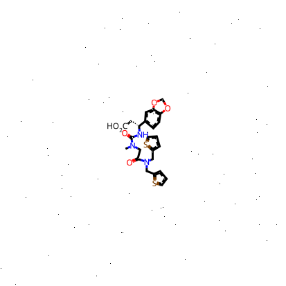 CN(CC(=O)N(Cc1cccs1)Cc1cccs1)C(=O)N[C@H](CC(=O)O)c1ccc2c(c1)OCO2